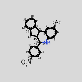 CC(=O)c1ccc2c(c1)C1c3ccccc3CC1C(c1ccc([N+](=O)[O-])cc1)N2